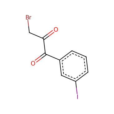 O=C(CBr)C(=O)c1cccc(I)c1